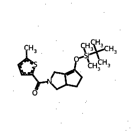 Cc1ccc(C(=O)N2CC3=C(O[Si](C)(C)C(C)(C)C)CCC3C2)s1